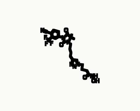 CC1(C)C(=O)N(c2ccc(C#N)c(C(F)(F)F)c2)C(=O)N1CCCCc1cn(CCCC(=O)NO)nn1